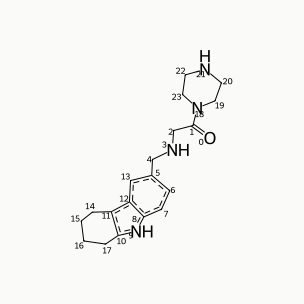 O=C(CNCc1ccc2[nH]c3c(c2c1)CCCC3)N1CCNCC1